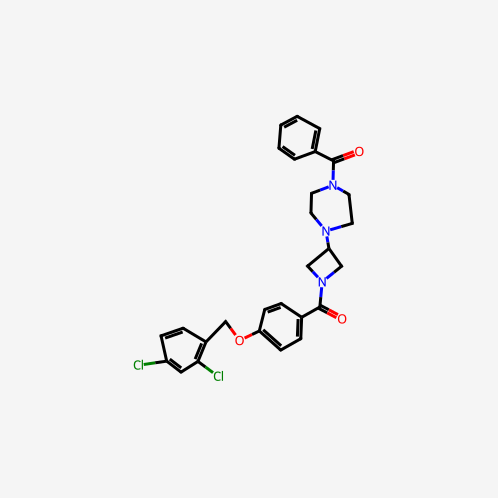 O=C(c1ccccc1)N1CCN(C2CN(C(=O)c3ccc(OCc4ccc(Cl)cc4Cl)cc3)C2)CC1